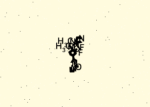 CN(c1ccc(C2CN(C(=O)N3CCC3)C2)cc1OC(F)F)c1nc2cnccc2n1C